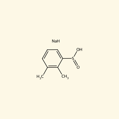 Cc1cccc(S(=O)O)c1C.[NaH]